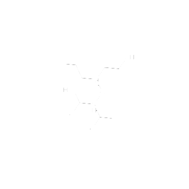 CCC[SiH](CCC)O[SiH](C(C)C)C(C)C